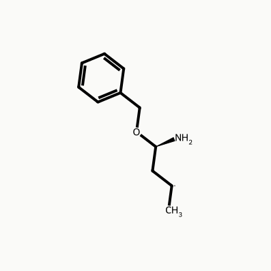 C[CH]C[C@H](N)OCc1ccccc1